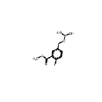 COC(=O)c1cc(COB(O)O)ccc1F